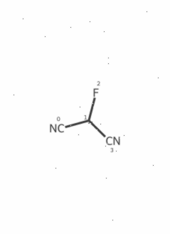 N#C[C](F)C#N